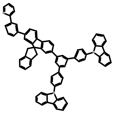 c1ccc(-c2cccc(-c3ccc4c(c3)C3(Cc5ccccc5C3)c3cc(-c5cc(-c6ccc(-n7c8ccccc8c8ccccc87)cc6)cc(-c6ccc(-n7c8ccccc8c8ccccc87)cc6)c5)ccc3-4)c2)nc1